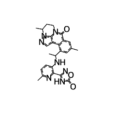 Cc1cc(C(C)Nc2ccc(C)nc2-c2noc(=O)[nH]2)c2c(c1)c(=O)n1c3c2cnn3C(C)CC1